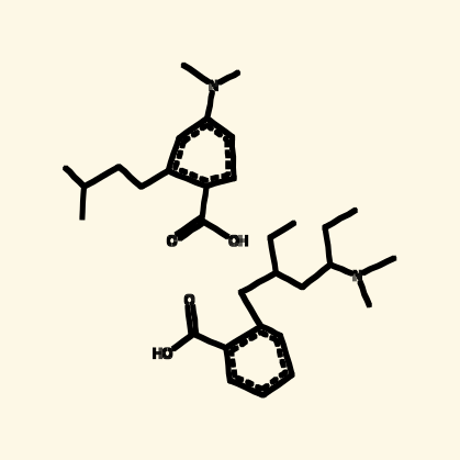 CC(C)CCc1cc(N(C)C)ccc1C(=O)O.CCC(Cc1ccccc1C(=O)O)CC(CC)N(C)C